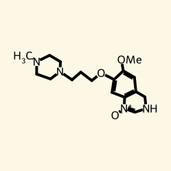 COc1cc2c(cc1OCCCN1CCN(C)CC1)[N+]([O-])=CNC2